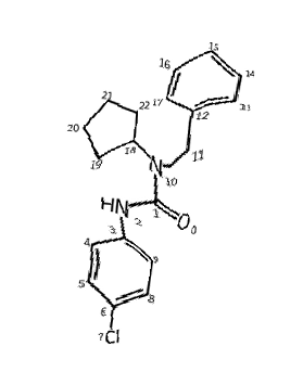 O=C(Nc1ccc(Cl)cc1)N(Cc1ccccc1)C1CCCC1